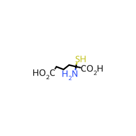 NC(S)(CCCC(=O)O)C(=O)O